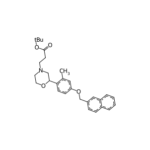 Cc1cc(OCc2ccc3ccccc3c2)ccc1C1CN(CCC(=O)OC(C)(C)C)CCO1